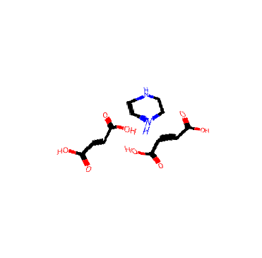 C1CNCCN1.O=C(O)/C=C/C(=O)O.O=C(O)/C=C/C(=O)O